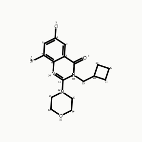 O=c1c2cc(Cl)cc(Br)c2nc(N2CCOCC2)n1CC1CCC1